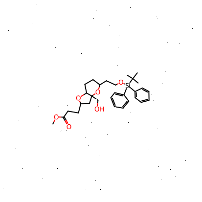 COC(=O)CCC1CC2(CO)OC(CCO[Si](c3ccccc3)(c3ccccc3)C(C)(C)C)CCC2O1